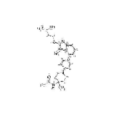 CCC(=O)NC1(C)CCN(c2ccc(-c3cccn4nc(OCCC(C)O)c(C#N)c34)cn2)CC1